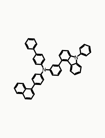 c1ccc(-c2ccc(N(c3ccc(-c4cccc5ccccc45)cc3)c3cccc(-c4cccc5c4c4ccccc4n5-c4ccccc4)c3)cc2)cc1